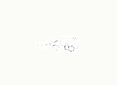 COCn1c(N2NC3=NC(C(F)(F)C(F)(F)F)=NC3=CC2C)cc2ccc(F)cc21